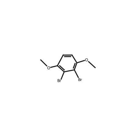 COc1[c]cc(OC)c(Br)c1Br